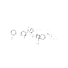 Nc1c(C(=O)c2c[nH]c3ccc(C(=O)N4CCOCC4)cc23)cnn1-c1ccc(Oc2ccccc2F)nc1